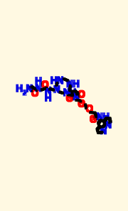 NCC(=O)NCC(=O)NCCN1CCNCCNCC(C2=CC(=O)N(CCOCCOCCC(=O)Nc3cc4cccnc4c4ncccc34)C2=O)NCC1